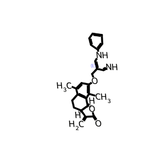 C=C1C(=O)O[C@H]2c3c(C)c(OC/C(C=N)=C/Nc4ccccc4)cc(C)c3CC[C@@H]12